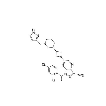 CC(c1ccc(Cl)cc1Cl)n1nc(C#N)c2ncc(N3CC([C@@H]4CCCN(Cc5cc[nH]n5)C4)C3)nc21